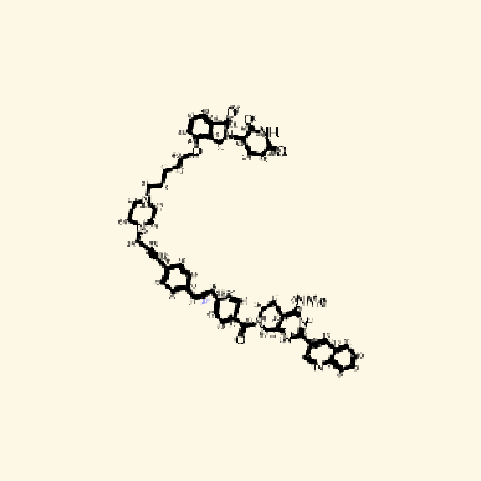 CNc1nc(-c2cnc3ccccc3c2)nc2c1CCN(C(=O)c1ccc(/C=C/c3ccc(C#CCN4CCN(CCCCCOc5cccc6c5CN(C5CCC(=O)NC5=O)C6=O)CC4)cc3)cc1)C2